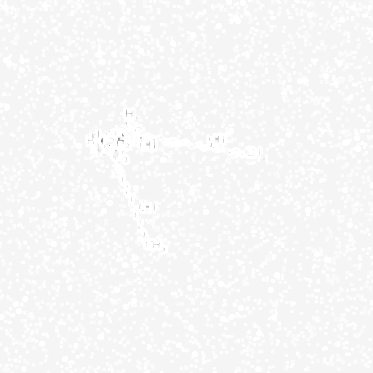 CCCCCCC(O)CCCCCCCCCCC(C)(O)OC(C)COC(C)(C)C(C)(O)CCCCCCCCCCC(O)CCCCCC